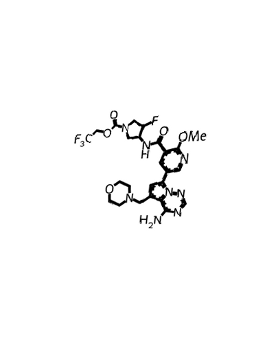 COc1ncc(-c2cc(CN3CCOCC3)c3c(N)ncnn23)cc1C(=O)NC1CN(C(=O)OCC(F)(F)F)CC1F